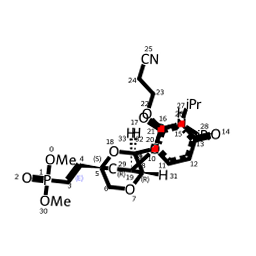 COP(=O)(/C=C/[C@@]12CO[C@@H]([C@H](n3ccc(=O)[nH]c3=O)O1)[C@H](OP(OCCC#N)N(C(C)C)C(C)C)C2)OC